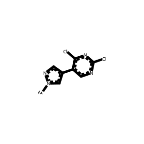 CC(=O)n1cc(-c2cnc(Cl)nc2Cl)cn1